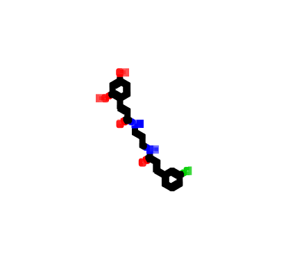 O=C(/C=C/c1cccc(Cl)c1)NCCCNC(=O)/C=C/c1ccc(O)cc1O